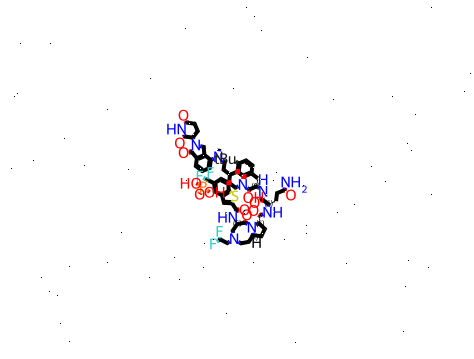 CN(CCC1CCN(C(O)[C@H](Cc2ccc(C(C)(C)C)cc2)NC(=O)[C@H](CCC(N)=O)NC(=O)[C@@H]2CC[C@@H]3CCN(CC(F)F)C[C@H](NC(=O)c4cc5cc(C(F)(F)P(=O)(O)O)ccc5s4)C(=O)N32)CC1)c1cccc2c1CN(C1CCC(=O)NC1=O)C2=O